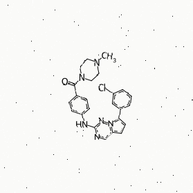 CN1CCN(C(=O)c2ccc(Nc3ncc4ccc(-c5cccc(Cl)c5)n4n3)cc2)CC1